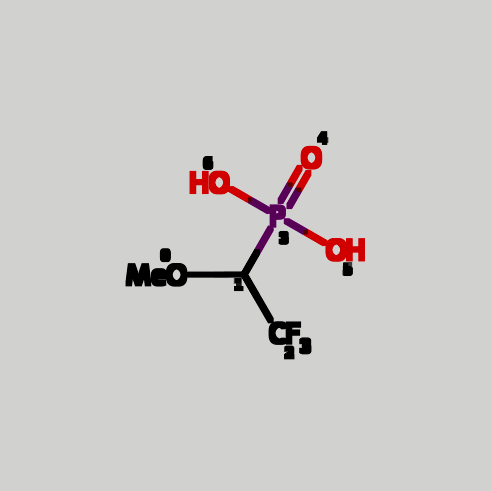 COC(C(F)(F)F)P(=O)(O)O